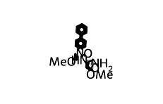 COCCN(C(=O)N[C@@H](CN)CC(=O)OC)c1ccc(-c2ccccc2)cc1